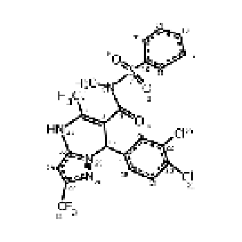 CC1=C(C(=O)N(C)S(=O)(=O)c2ccccc2)C(c2ccc(Cl)c(Cl)c2)n2nc(C(F)(F)F)cc2N1